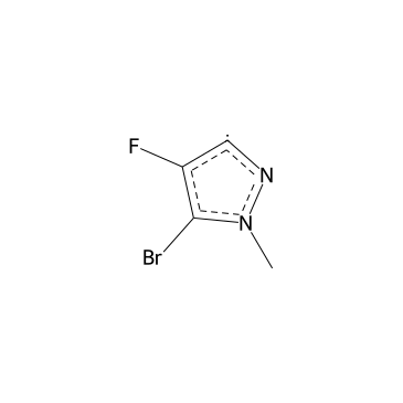 Cn1n[c]c(F)c1Br